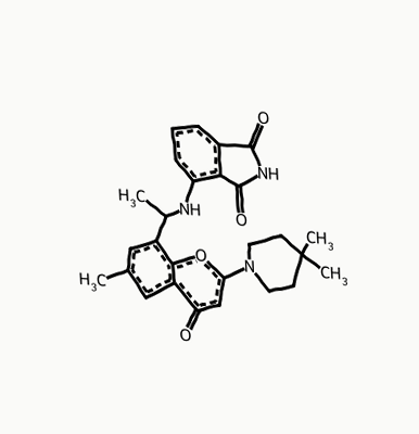 Cc1cc(C(C)Nc2cccc3c2C(=O)NC3=O)c2oc(N3CCC(C)(C)CC3)cc(=O)c2c1